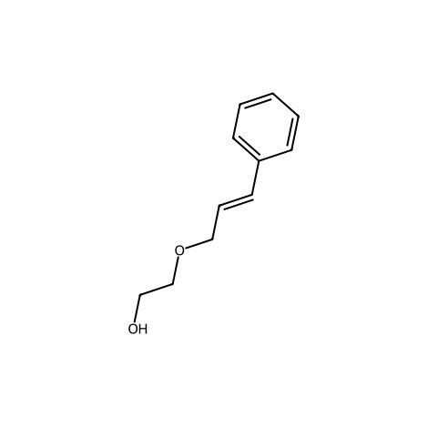 OCCOC/C=C/c1ccccc1